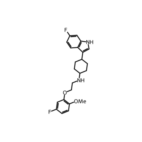 COc1ccc(F)cc1OCCNC1CCC(c2c[nH]c3cc(F)ccc23)CC1